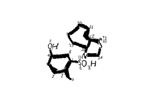 Cc1ccc(O)cc1S(=O)(=O)O.c1ccc2scnc2c1